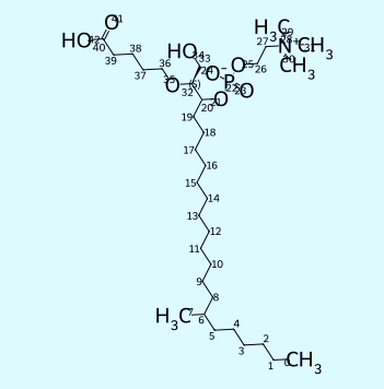 CCCCCCC(C)CCCCCCCCCCCCC(OP(=O)([O-])OCC[N+](C)(C)C)[C@H](CO)OCCCCC(=O)O